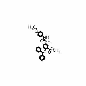 CCOc1ccc(NC(=O)Nc2ccc(OC(c3ccccc3)c3ccccc3)c(C(=O)OC)c2)cc1